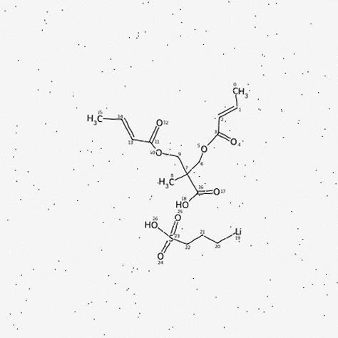 CC=CC(=O)OCC(C)(COC(=O)C=CC)C(=O)O.[Li][CH2]CCS(=O)(=O)O